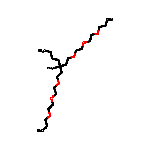 COCCOCCOCCOCCC(CCCC(=O)O)(CCOCCOCCOCCOC)C(=O)O